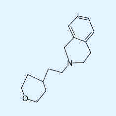 [c]1ccc2c(c1)CN(CCC1CCOCC1)CC2